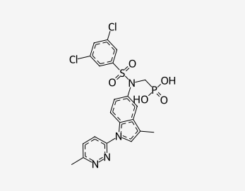 Cc1ccc(-n2cc(C)c3cc(N(CP(=O)(O)O)S(=O)(=O)c4cc(Cl)cc(Cl)c4)ccc32)nn1